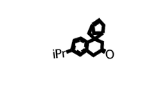 CC(C)c1ccc2c(c1)CC(=O)CC21CC2=CCC1C2